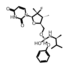 CC(C)[C@H](C)N[PH](O)(OC[C@H]1O[C@@H](n2ccc(=O)[nH]c2=O)[C@](C)(F)[C@@H]1C)Oc1ccccc1